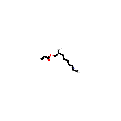 C=CC(=O)OCC(CCC)CCCC/C=C/CC